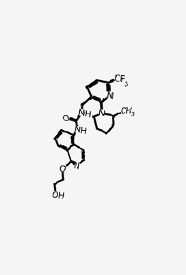 CC1CCCCN1c1nc(C(F)(F)F)ccc1CNC(=O)Nc1cccc2c(OCCO)nccc12